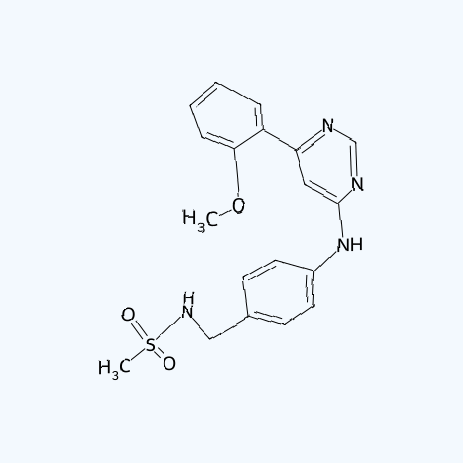 COc1ccccc1-c1cc(Nc2ccc(CNS(C)(=O)=O)cc2)ncn1